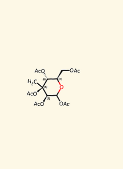 CC(=O)OC[C@H]1OC(OC(C)=O)[C@@H](OC(C)=O)[C@@](C)(OC(C)=O)[C@@H]1OC(C)=O